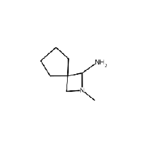 CN1CC2(CCCC2)C1N